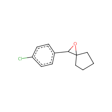 Clc1ccc(C2OC23CCCC3)cc1